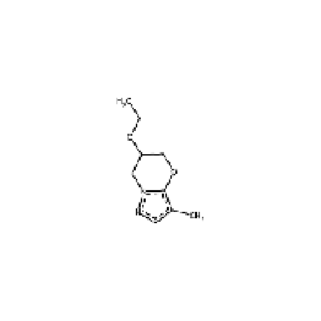 CCOC1COc2c(C)cnn2C1